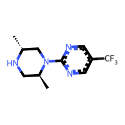 C[C@@H]1CN(c2ncc(C(F)(F)F)cn2)[C@@H](C)CN1